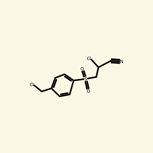 N#CC(Cl)CS(=O)(=O)c1ccc(CCl)cc1